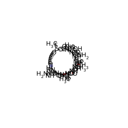 CC[C@H](C)[C@@H]1NC(=O)[C@H](CC(=O)O)NC(=O)[C@H](CCSC)NC(=O)[C@@H]2CCCN2C(=O)[C@H](C)NC(=O)[C@H](CCCNC(=N)N)NC(=O)/C=N/OCCCCCCOc2cc(CSC)cc(c2)CSC[C@@H](C(N)=O)NC(=O)[C@H](CCC(=O)O)NC(=O)[C@H](CCC(N)=O)NC(=O)[C@H](Cc2c[nH]c3ccccc23)NC1=O